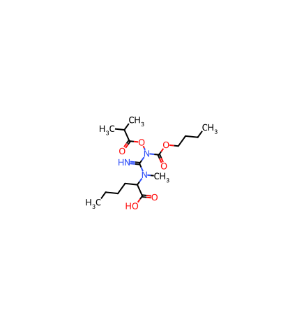 CCCCOC(=O)N(OC(=O)C(C)C)C(=N)N(C)C(CCCC)C(=O)O